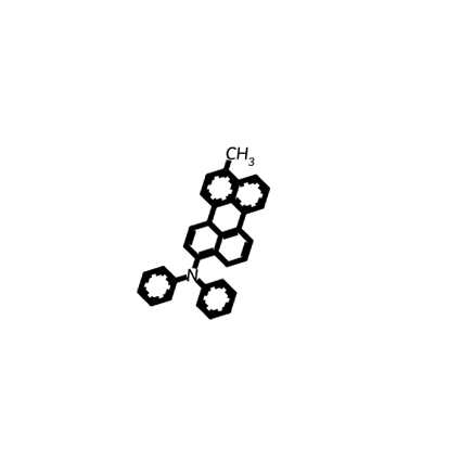 Cc1ccc2c3c(cccc13)C1=C3C(=C(N(c4ccccc4)c4ccccc4)C=CC32)CC=C1